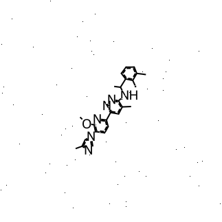 COc1nc(-c2cc(C)c(NC(C)c3cccc(C)c3C)nn2)ccc1-n1cnc(C)c1